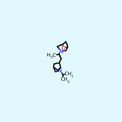 CC(CC1CC2CC1N(C(C)C)C2)N1CC2CC(C1)O2